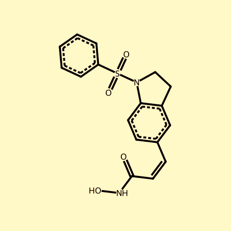 O=C(/C=C\c1ccc2c(c1)CCN2S(=O)(=O)c1ccccc1)NO